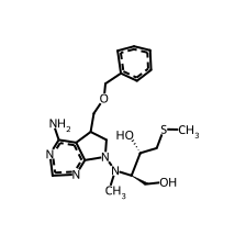 CSC[C@@H](O)[C@@H](CO)N(C)N1CC(COCc2ccccc2)c2c(N)ncnc21